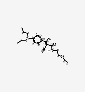 CCCN(CCC)c1ccc(/C(C)=C(\C#N)C(=O)NCCOCC)cc1